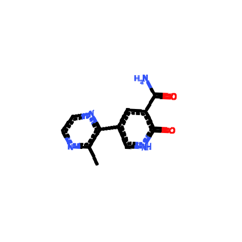 Cc1nccnc1-c1c[nH]c(=O)c(C(N)=O)c1